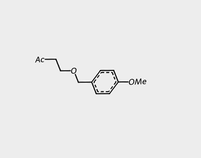 COc1ccc(COCCC(C)=O)cc1